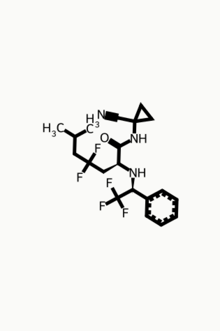 CC(C)CC(F)(F)C[C@H](N[C@@H](c1ccccc1)C(F)(F)F)C(=O)NC1(C#N)CC1